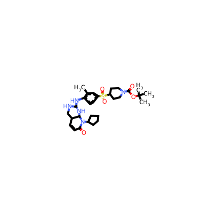 Cc1cc(S(=O)(=O)C2CCN(C(=O)OC(C)(C)C)CC2)ccc1NC1NCC2C=CC(=O)N(C3CCCC3)C2N1